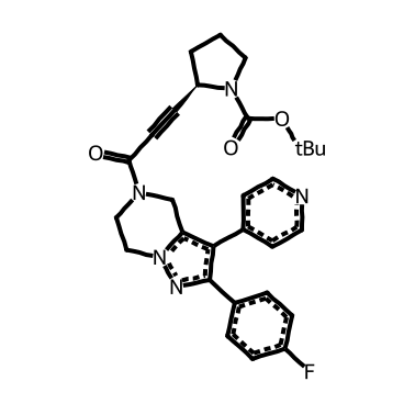 CC(C)(C)OC(=O)N1CCC[C@@H]1C#CC(=O)N1CCn2nc(-c3ccc(F)cc3)c(-c3ccncc3)c2C1